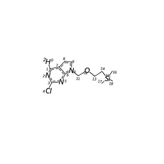 [2H]c1nc(Cl)nc2c1ccn2COCC[Si](C)(C)C